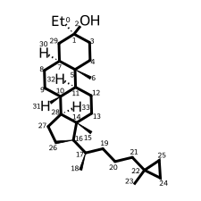 CC[C@]1(O)CC[C@@]2(C)[C@@H](CC[C@@H]3[C@@H]2CC[C@]2(C)[C@@H]([C@H](C)CCCC4(C)CC4)CC[C@@H]32)C1